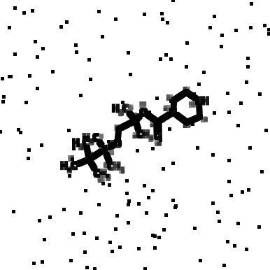 CC(C)(CO[Si](C)(C)C(C)(C)C)OC(=O)N1CCNCC1